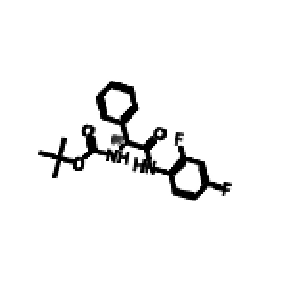 CC(C)(C)OC(=O)N[C@@H](C(=O)Nc1ccc(F)cc1F)c1ccccc1